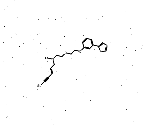 CCN(CC=CC#CC(C)(C)C)CCOCCOc1cccc(-c2cncs2)c1